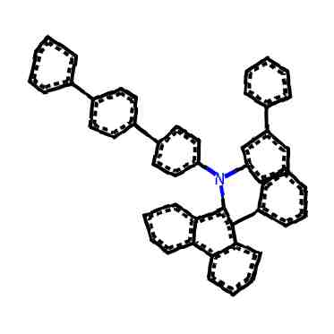 c1ccc(-c2ccc(-c3ccc(N(c4cccc(-c5ccccc5)c4)c4c(-c5ccccc5)c5ccccc5c5ccccc45)cc3)cc2)cc1